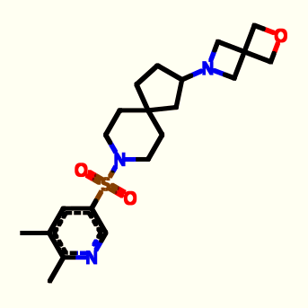 Cc1cc(S(=O)(=O)N2CCC3(CCC(N4CC5(COC5)C4)C3)CC2)cnc1C